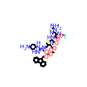 CC(OC(=O)OCC1c2ccccc2-c2ccccc21)OC(=O)C1=C(/C=N/N(C)C(=N)NC2CCC(N)CC2)CSC2C(NC(=O)/C(=N\OCF)c3nsc(N)n3)C(=O)N12